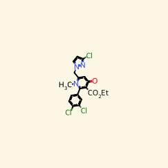 CCOC(=O)c1c(-c2ccc(Cl)c(Cl)c2)n(C)c(Cn2ccc(Cl)n2)cc1=O